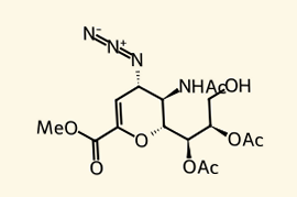 COC(=O)C1=C[C@H](N=[N+]=[N-])[C@@H](NC(C)=O)[C@H]([C@H](OC(C)=O)[C@@H](CO)OC(C)=O)O1